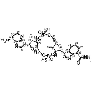 C=C1[C@H]2O[P@@](=O)(S)OC[C@H]3O[C@@H](n4cnc5c(N)ncnc54)[C@H](F)[C@@H]3O[P@@](=O)(S)OC[C@H]1O[C@H]2n1nnc2c(C(N)=O)cccc21